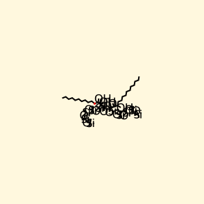 CCCCCCCCCCCC(O)C(O)(C(=O)OC(=O)C(O)(C(O)CCCCCCCCCCC)[Si](C)(C)O[Si](C)(C)O[Si](C)(C)O[Si](C)(C)O[Si](C)(C)C)[Si](C)(C)O[Si](C)(C)O[Si](C)(C)O[Si](C)(C)O[Si](C)(C)C